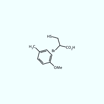 COc1ccc(C)cc1.O=C(O)C(Br)CS